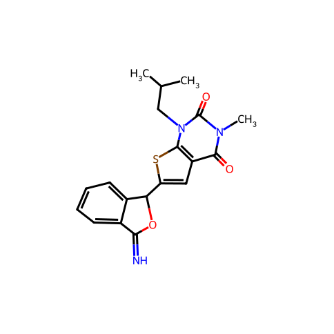 CC(C)Cn1c(=O)n(C)c(=O)c2cc(C3OC(=N)c4ccccc43)sc21